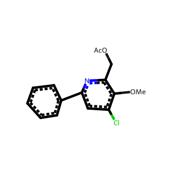 COc1c(Cl)cc(-c2ccccc2)nc1COC(C)=O